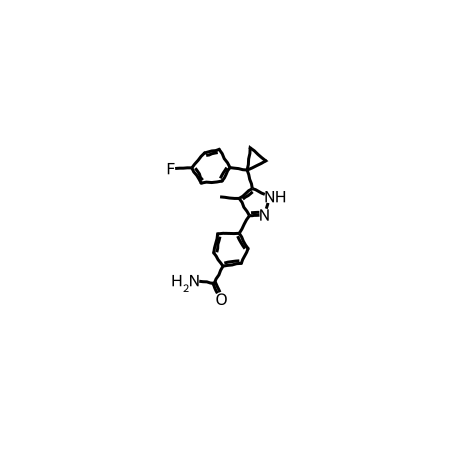 Cc1c(-c2ccc(C(N)=O)cc2)n[nH]c1C1(c2ccc(F)cc2)CC1